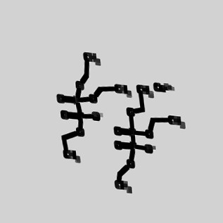 CCOP(=O)([O-])P(=O)(OCC)OCC.CCOP(=O)([O-])P(=O)(OCC)OCC.[Cu+2]